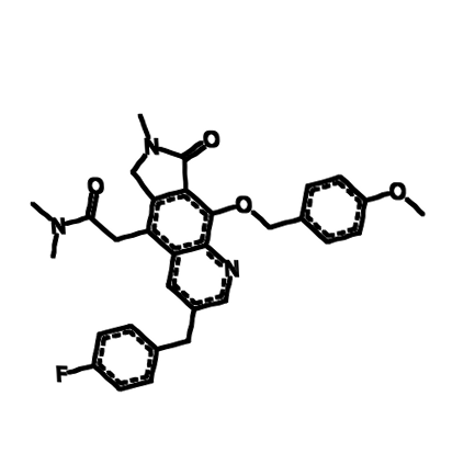 COc1ccc(COc2c3c(c(CC(=O)N(C)C)c4cc(Cc5ccc(F)cc5)cnc24)CN(C)C3=O)cc1